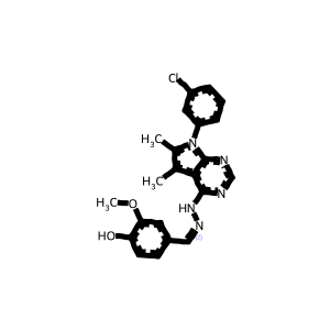 COc1cc(/C=N\Nc2ncnc3c2c(C)c(C)n3-c2cccc(Cl)c2)ccc1O